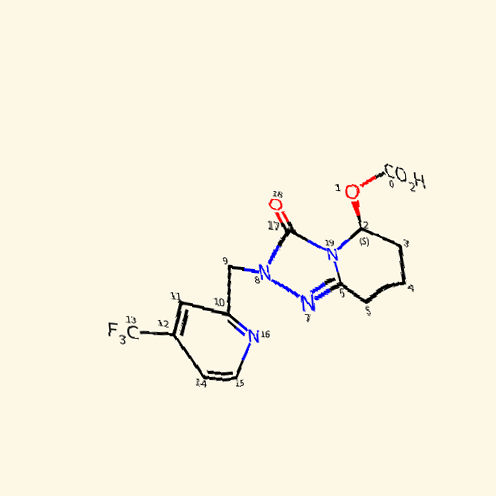 O=C(O)O[C@H]1CCCc2nn(Cc3cc(C(F)(F)F)ccn3)c(=O)n21